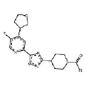 CCC(=O)N1CCC(c2noc(-c3cc(C4CCOC4)c(F)cn3)n2)CC1